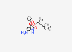 CC(C)=CCCC(C)=CCOc1c(OC(=O)c2ccccc2)c2ccc(N)cc2[nH]c1=O